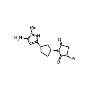 CC(C)N1CC(=O)N([C@H]2CC[C@@H](c3cc(N)n(C(C)(C)C)n3)C2)C1=O